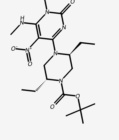 CC[C@@H]1CN(c2nc(=O)n(C)c(NC)c2[N+](=O)[O-])[C@@H](CC)CN1C(=O)OC(C)(C)C